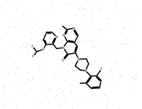 Cc1ncc2cc(N3CCN(c4c(C)cccc4F)CC3)c(=O)n(Cc3ncccc3OC(F)F)c2n1